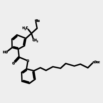 CCCCCCCCCCCCCCCCCCc1ccccc1OC(=O)c1cc(C(C)(C)CC(C)(C)C)ccc1O